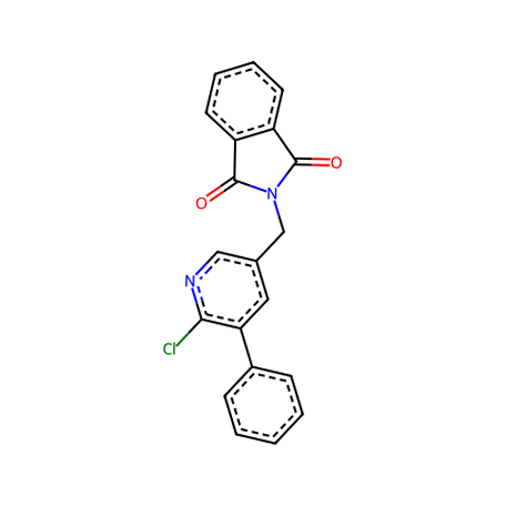 O=C1c2ccccc2C(=O)N1Cc1cnc(Cl)c(-c2ccccc2)c1